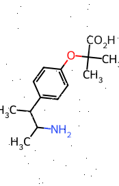 CC(N)C(C)c1ccc(OC(C)(C)C(=O)O)cc1